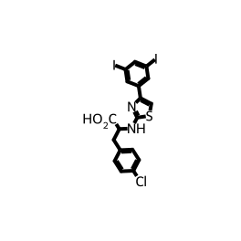 O=C(O)C(Cc1ccc(Cl)cc1)Nc1nc(-c2cc(I)cc(I)c2)cs1